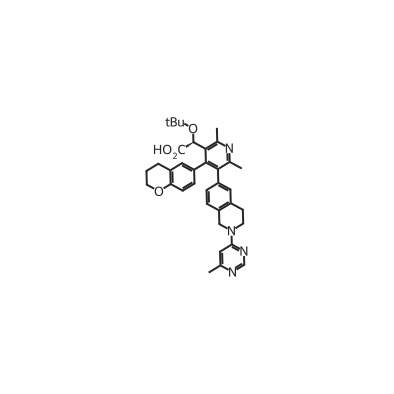 Cc1cc(N2CCc3cc(-c4c(C)nc(C)c([C@H](OC(C)(C)C)C(=O)O)c4-c4ccc5c(c4)CCCO5)ccc3C2)ncn1